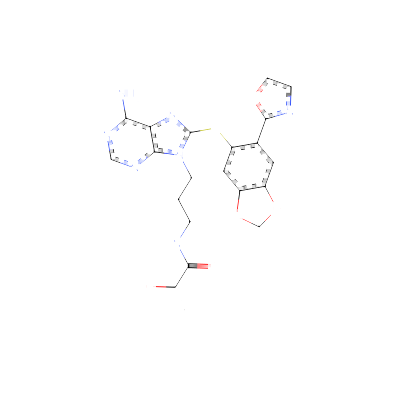 C[C@H](O)C(=O)NCCCn1c(Sc2cc3c(cc2-c2ncco2)OCO3)nc2c(N)ncnc21